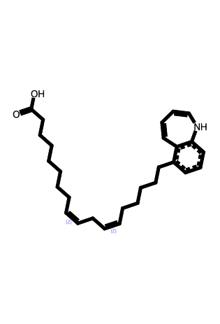 O=C(O)CCCCCCC/C=C\C/C=C\CCCCCc1cccc2c1C=CC=CN2